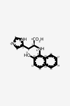 O=C(O)[C@H](Cc1cnc[nH]1)Nc1c(O)ccc2ccccc12